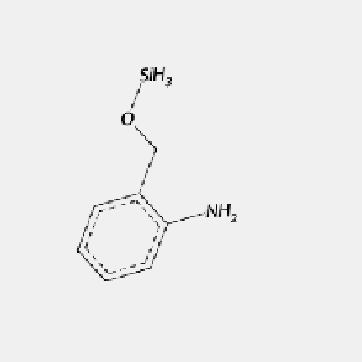 Nc1ccccc1CO[SiH3]